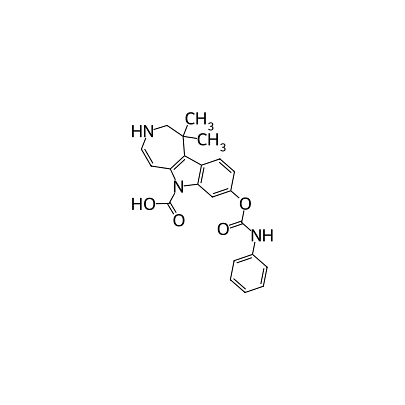 CC1(C)CNC=Cc2c1c1ccc(OC(=O)Nc3ccccc3)cc1n2C(=O)O